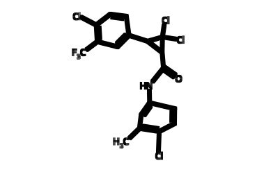 Cc1cc(NC(=O)C2C(c3ccc(Cl)c(C(F)(F)F)c3)C2(Cl)Cl)ccc1Cl